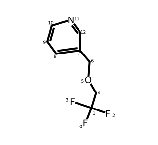 FC(F)(F)COCc1cccnc1